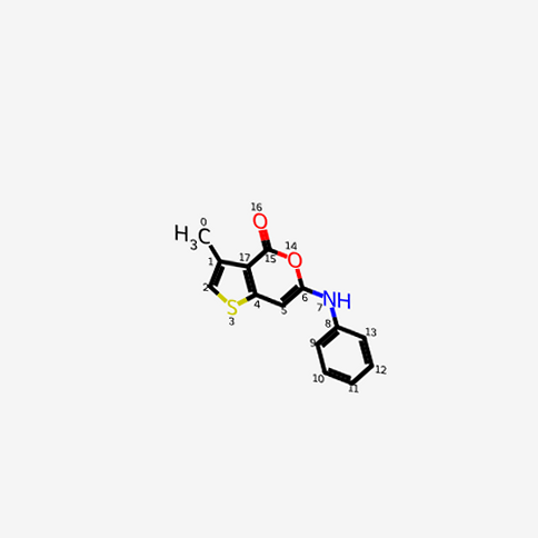 Cc1csc2cc(Nc3ccccc3)oc(=O)c12